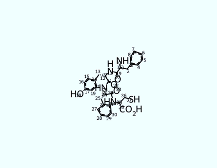 N[C@@H](Cc1ccccc1)C(=O)N[C@@H](Cc1ccc(O)cc1)C(=O)N[C@@H](Cc1ccccc1)C(=O)N[C@@H](CS)C(=O)O